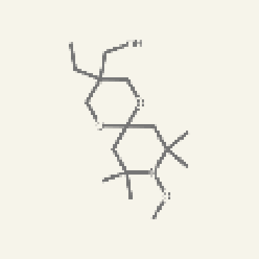 CCC1(CO)COC2(CC(C)(C)N(OC)C(C)(C)C2)OC1